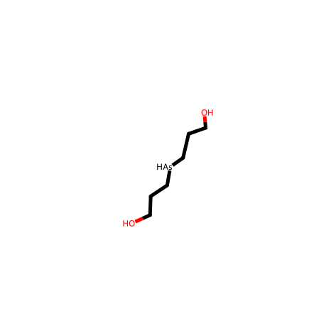 OCCC[AsH]CCCO